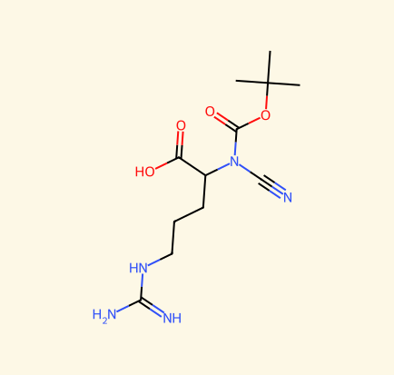 CC(C)(C)OC(=O)N(C#N)C(CCCNC(=N)N)C(=O)O